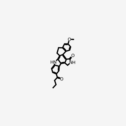 CCCC(=O)c1ccc2[nH]c3c4c(c5c(c3c2c1)CNC5=O)-c1ccc(OC)cc1CC4